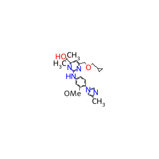 COc1cc(Nc2nc(COCC3CC3)cc(C(C)(C)O)n2)ccc1-n1cnc(C)c1